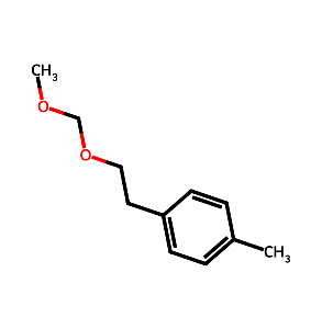 COCOCCc1ccc(C)cc1